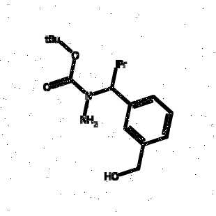 CC(C)C(c1cccc(CO)c1)N(N)C(=O)OC(C)(C)C